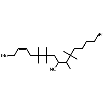 CC(C)CCCCC(C)(C)C(C)C(C#N)CC(C)(C)C(C)(C)C/C=C\CC(C)(C)C